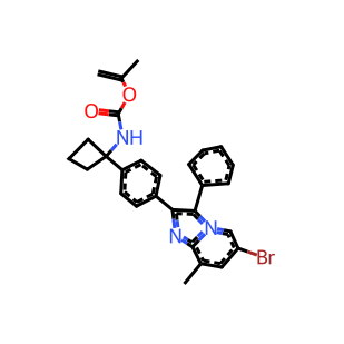 C=C(C)OC(=O)NC1(c2ccc(-c3nc4c(C)cc(Br)cn4c3-c3ccccc3)cc2)CCC1